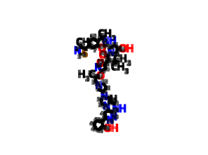 Cc1ncsc1-c1ccc([C@H](C)NC(=O)[C@@H]2C[C@@H](O)CN2C(=O)[C@@H](c2cc(O[C@H](C)CN3CCC(N4CCN5c6cc(-c7ccccc7O)nnc6NC[C@H]5C4)C3)no2)C(C)C)cc1